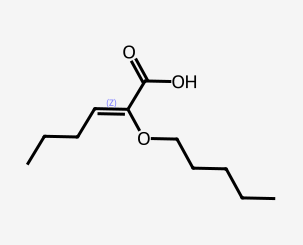 CCC/C=C(\OCCCCC)C(=O)O